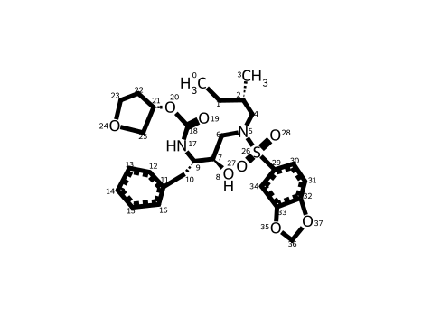 CC[C@H](C)CN(C[C@@H](O)[C@H](Cc1ccccc1)NC(=O)O[C@H]1CCOC1)S(=O)(=O)c1ccc2c(c1)OCO2